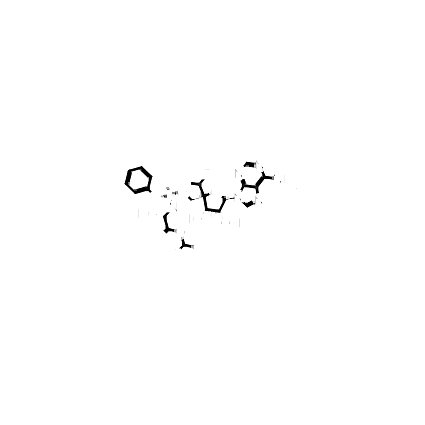 CC(C)OC(=O)[C@H](C)N[P@](=O)(OC[C@@]1(C(F)F)O[C@@H](n2cnc3c(N)ncnc32)[C@H](O)[C@@H]1O)Oc1ccccc1